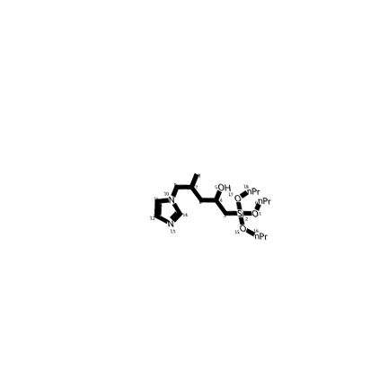 CCCO[Si](CC(O)CC(C)Cn1ccnc1)(OCCC)OCCC